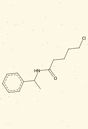 CC(NC(=O)CCCCCl)c1ccccc1